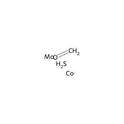 C=O.S.[Co].[Mo]